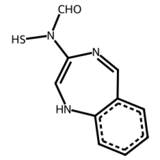 O=CN(S)C1=CNc2ccccc2C=N1